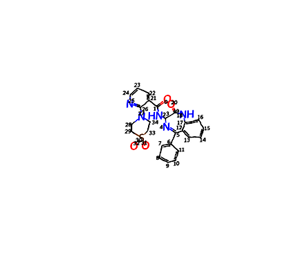 O=C(NC1N=C(c2ccccc2)c2ccccc2NC1=O)c1cccnc1N1CCS(=O)(=O)CC1